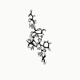 CCCC(NC(=O)[C@@H]1[C@@H]2[C@H](CN1C(=O)[C@@H](NC(=O)NC(C)(C)C)C1CCCCC1)C2(C)C)C(=O)C(=O)NCC(=O)CC(C)C